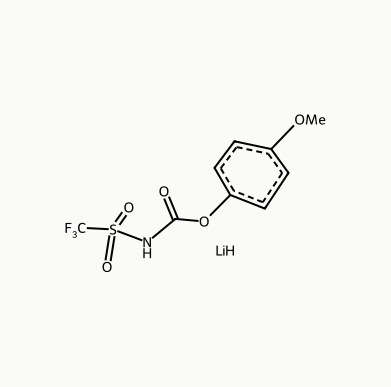 COc1ccc(OC(=O)NS(=O)(=O)C(F)(F)F)cc1.[LiH]